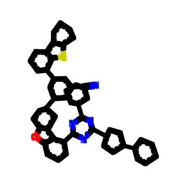 N#Cc1cc(-c2ccc3oc4cccc(-c5nc(-c6ccccc6)nc(-c6ccc(-c7ccccc7)cc6)n5)c4c3c2)cc(-c2cccc3c2sc2ccccc23)c1